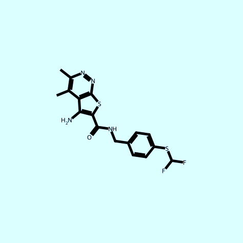 Cc1nnc2sc(C(=O)NCc3ccc(SC(F)F)cc3)c(N)c2c1C